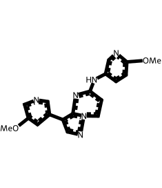 COc1cncc(-c2cnn3ccc(Nc4ccc(OC)nc4)nc23)c1